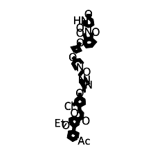 CCOc1cc2oc(-c3ccc(OCc4cn(CC(=O)N5CCC(OC6CC(Oc7cccc8c7C(=O)N(C7CCC(=O)NC7=O)C8=O)C6)CC5)nn4)cc3Cl)cc(=O)c2cc1-c1cccc(C(C)=O)c1